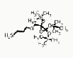 C[Si](C)(C)OC1(COCCC[SiH3])OC1(O[Si](C)(C)C)O[Si](C)(C)C